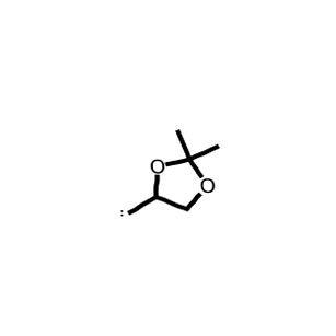 [CH]C1COC(C)(C)O1